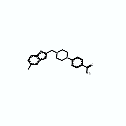 Cc1ccc2nc(CN3CCN(c4ccc(C(N)=O)cc4)CC3)cn2c1